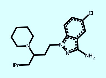 CC(C)CC(CCn1nc(N)c2cc(Cl)ccc21)N1CCCCC1